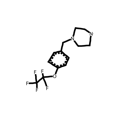 FC(F)(F)C(F)(F)Oc1ccc(CN2CC[N]CC2)cc1